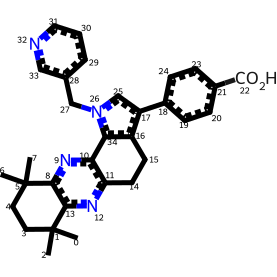 CC1(C)CCC(C)(C)c2nc3c(nc21)CCc1c(-c2ccc(C(=O)O)cc2)cn(Cc2cccnc2)c1-3